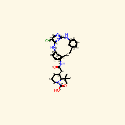 CC(C)(C)C1[C@H](CC(=O)Nc2ccc3cc2CCc2cccc(c2)Nc2ncc(Cl)c(n2)N3)CCCN1C(=O)O